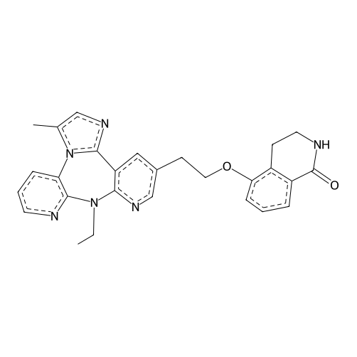 CCN1c2ncc(CCOc3cccc4c3CCNC4=O)cc2-c2ncc(C)n2-c2cccnc21